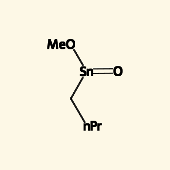 CCC[CH2][Sn](=[O])[O]C